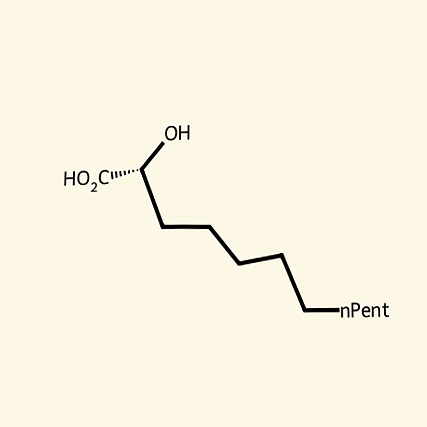 CCCCCCCCCC[C@@H](O)C(=O)O